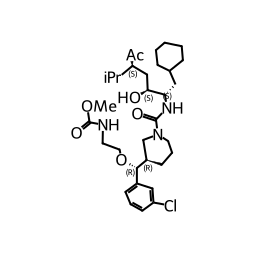 COC(=O)NCCO[C@@H](c1cccc(Cl)c1)[C@@H]1CCCN(C(=O)N[C@@H](CC2CCCCC2)[C@@H](O)C[C@H](C(C)=O)C(C)C)C1